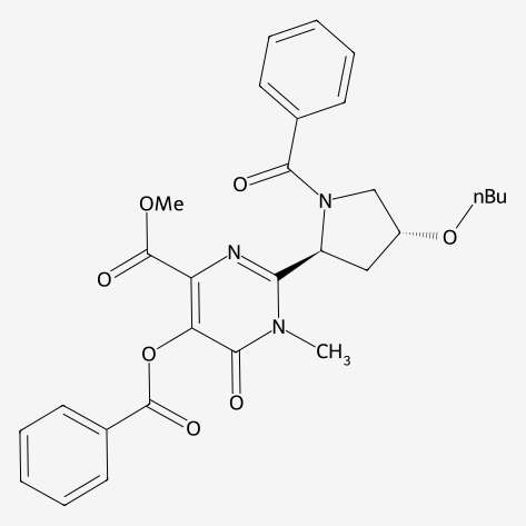 CCCCO[C@@H]1C[C@@H](c2nc(C(=O)OC)c(OC(=O)c3ccccc3)c(=O)n2C)N(C(=O)c2ccccc2)C1